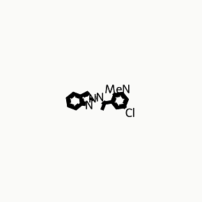 CNc1ccc(Cl)cc1/C(C)=N/n1cc2ccccc2n1